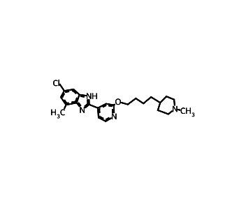 Cc1cc(Cl)cc2[nH]c(-c3ccnc(OCCCCC4CCN(C)CC4)c3)nc12